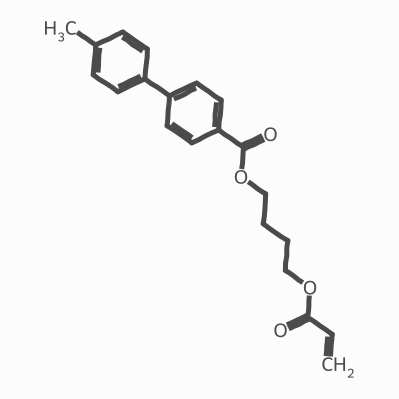 C=CC(=O)OCCCCOC(=O)c1ccc(-c2ccc(C)cc2)cc1